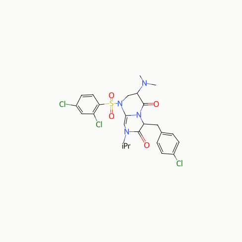 CC(C)N1C=C2N(C(=O)C(N(C)C)CN2S(=O)(=O)c2ccc(Cl)cc2Cl)C(Cc2ccc(Cl)cc2)C1=O